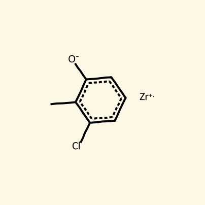 Cc1c([O-])cccc1Cl.[Zr+]